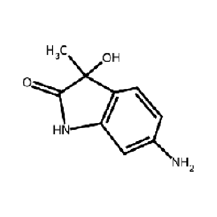 CC1(O)C(=O)Nc2cc(N)ccc21